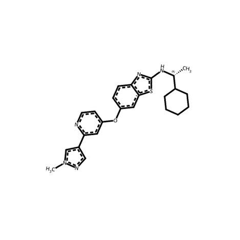 C[C@@H](Nc1nc2ccc(Oc3ccnc(-c4cnn(C)c4)c3)cc2s1)C1CCCCC1